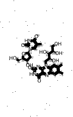 Cc1cc2nc3c(=O)[nH]c(=O)nc-3n(C[C@H](O)[C@H](O)[C@H](O)CO)c2cc1C.Cc1cn([C@H]2C[C@H](O)[C@@H](CO)O2)c(=O)[nH]c1=O